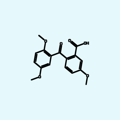 COc1ccc(OC)c(C(=O)c2ccc(OC)cc2C(=O)O)c1